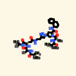 CN[C@@H](C)C(=O)NC(C(=O)N[C@@H](CCC(=O)NCCc1cn([C@H]2C[C@@H](C(=O)N[C@@H]3CCCc4ccccc43)N(C(=O)[C@@H](NC(=O)[C@H](C)NC)C(C)(C)C)C2)nn1)C(=O)N[C@H](C)C(C)C)C(C)C